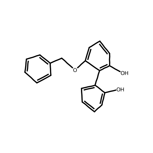 Oc1ccccc1-c1c(O)cccc1OCc1ccccc1